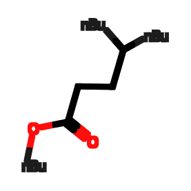 CCCCOC(=O)CCC(CCCC)CCCC